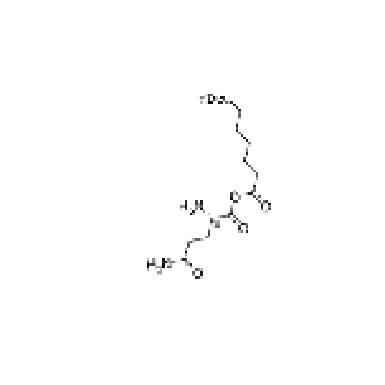 CCCCCCCCCCCCCCCC(=O)OC(=O)[C@@H](N)CCC(N)=O